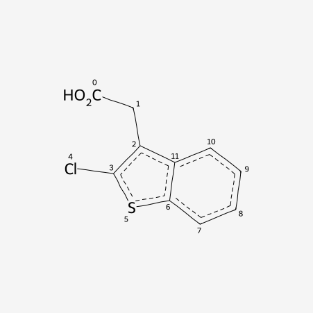 O=C(O)Cc1c(Cl)sc2ccccc12